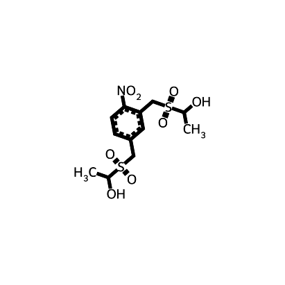 CC(O)S(=O)(=O)Cc1ccc([N+](=O)[O-])c(CS(=O)(=O)C(C)O)c1